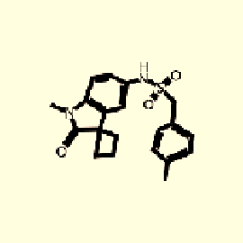 Cc1ccc(CS(=O)(=O)Nc2ccc3c(c2)C2(CCC2)C(=O)N3C)cc1